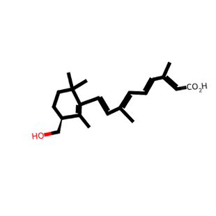 CC(C=CC1=C(C)[C@@H](CO)CCC1(C)C)=CC=CC(C)=CC(=O)O